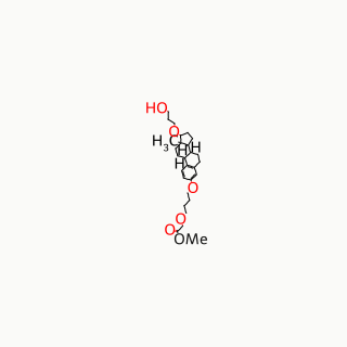 COC(=O)COCCCCOc1ccc2c(c1)CC[C@@H]1[C@@H]2CC[C@]2(C)[C@@H](OCCCO)CC[C@@H]12